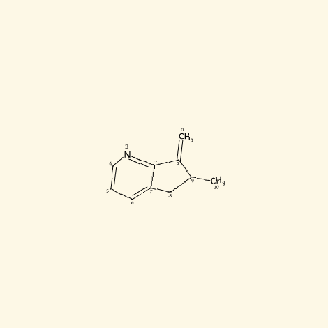 C=C1c2ncccc2CC1C